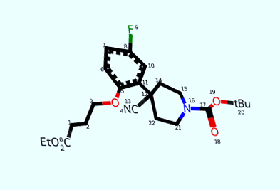 CCOC(=O)CCCOc1ccc(F)cc1C1(C#N)CCN(C(=O)OC(C)(C)C)CC1